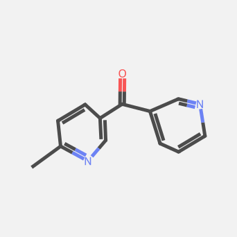 Cc1ccc(C(=O)c2cccnc2)cn1